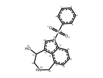 O=S(=O)(c1ccccc1)n1cc2c3c(cccc31)CNCC2O